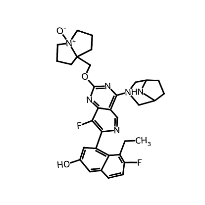 CCc1c(F)ccc2cc(O)cc(-c3ncc4c(N5CC6CCC(C5)N6)nc(OCC56CCC[N+]5([O-])CCC6)nc4c3F)c12